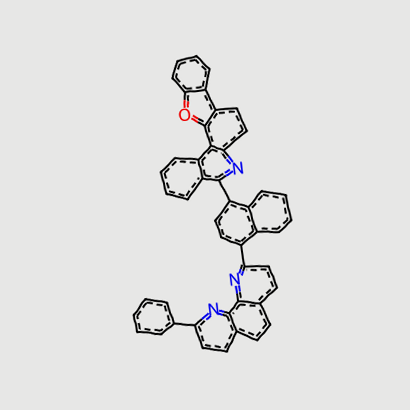 c1ccc(-c2ccc3ccc4ccc(-c5ccc(-c6nc7ccc8c9ccccc9oc8c7c7ccccc67)c6ccccc56)nc4c3n2)cc1